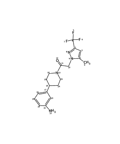 Cc1cc(C(F)(F)F)nn1CC(=O)N1CCC(c2cccc(N)c2)CC1